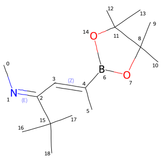 C/N=C(\C=C(/C)B1OC(C)(C)C(C)(C)O1)C(C)(C)C